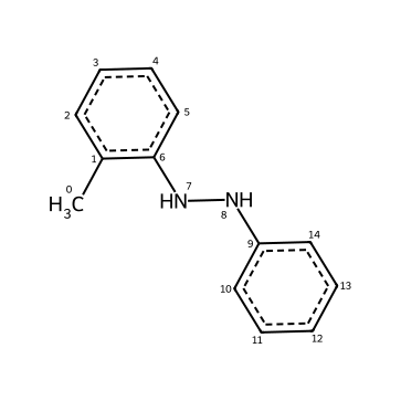 Cc1ccccc1NNc1ccccc1